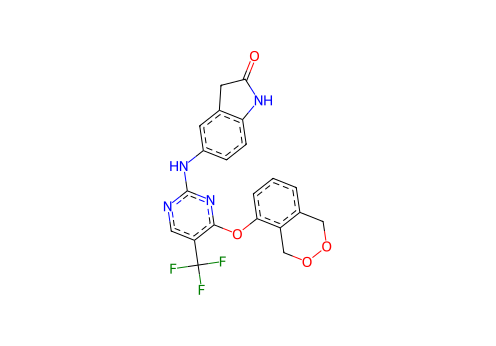 O=C1Cc2cc(Nc3ncc(C(F)(F)F)c(Oc4cccc5c4COOC5)n3)ccc2N1